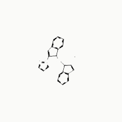 C1=C[CH]([Zr+2][CH]2C(n3cccn3)=Cc3ccccc32)c2ccccc21.[Cl-].[Cl-]